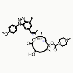 COc1ccc(-n2nnc3c(F)cc(/C=C(\C)[C@H]4OC(=O)C[C@H](O)CC[C@H](C)[C@@H](OC(=O)N5CCN(C)CC5)/C=C/[C@@H]4C)cc32)cc1